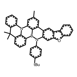 Cc1cc2c3c(c1)N1c4ccccc4C(C)(C)c4cccc(c41)B3N(c1ccc(C(C)(C)C)cc1)c1cc3oc4ccccc4c3cc1-2